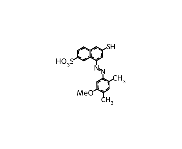 COc1cc(N=Nc2cc(S)cc3ccc(S(=O)(=O)O)cc23)c(C)cc1C